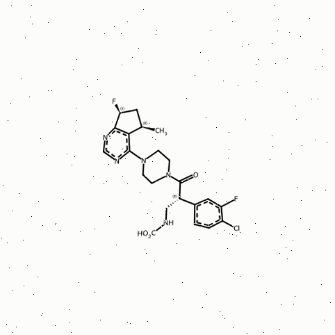 C[C@@H]1C[C@H](F)c2ncnc(N3CCN(C(=O)[C@@H](CNC(=O)O)c4ccc(Cl)c(F)c4)CC3)c21